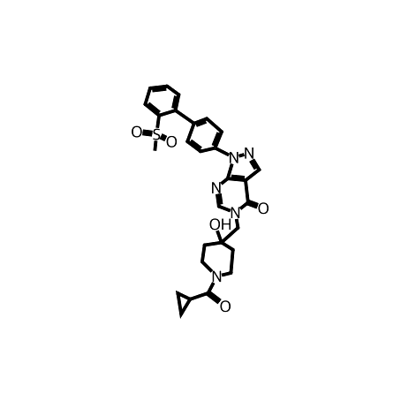 CS(=O)(=O)c1ccccc1-c1ccc(-n2ncc3c(=O)n(CC4(O)CCN(C(=O)C5CC5)CC4)cnc32)cc1